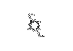 COC1CCN(Cc2ccc(C[C@H]3OC(=O)[C@H](CC(C)C)N(C)C(=O)[C@@H](C)OC(=O)[C@H](CC(C)C)N(C)C(=O)[C@@H](Cc4ccc(CN5CCC(OC)CC5)cc4)OC(=O)[C@H](CC(C)C)N(C)C(=O)[C@@H](C)OC(=O)[C@H](CC(C)C)N(C)C3=O)cc2)CC1